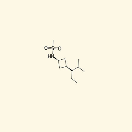 CCC(C(C)C)[C@H]1C[C@@H](NS(C)(=O)=O)C1